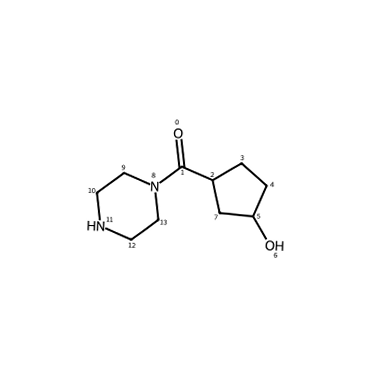 O=C(C1CCC(O)C1)N1CCNCC1